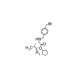 CC(C)C[C@H](NCc1ccc(CBr)cc1)C(=O)OC1CCCC1